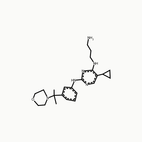 CC(C)(c1cccc(Nc2ncc(C3CC3)c(NCCCN)n2)c1)N1CCOCC1